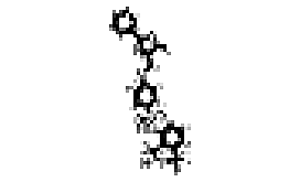 Cc1oc(-c2ccccc2)nc1COc1ccc(S(=O)(=O)Nc2cccc(C(F)(F)F)c2C(=O)O)cc1